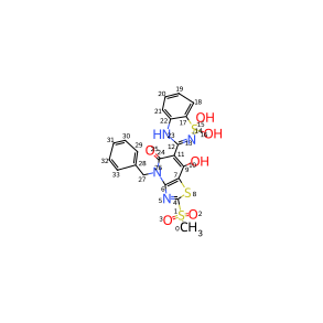 CS(=O)(=O)c1nc2c(s1)c(O)c(C1=NS(O)(O)c3ccccc3N1)c(=O)n2Cc1ccccc1